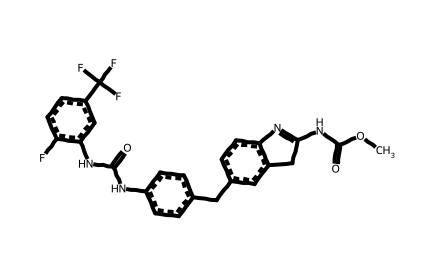 COC(=O)NC1=Nc2ccc(Cc3ccc(NC(=O)Nc4cc(C(F)(F)F)ccc4F)cc3)cc2C1